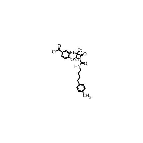 CCC1(CC)C(=O)N(C(=O)NCCCCc2ccc(C)cc2)[C@H]1Oc1ccc(C(=O)Cl)cc1